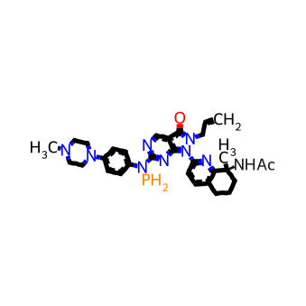 C=CCn1c(=O)c2cnc(N(P)c3ccc(N4CCN(C)CC4)cc3)nc2n1-c1ccc2c(n1)[C@@](C)(NC(C)=O)CCC2